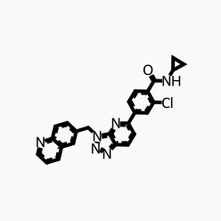 O=C(NC1CC1)c1ccc(-c2ccc3nnn(Cc4ccc5ncccc5c4)c3n2)cc1Cl